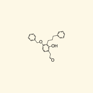 O=CCc1ccc(OCc2ccccc2)c(CCCc2ccccc2)c1O